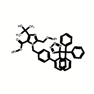 CCCOCc1nc(C(C)(C)O)c(C(=O)OCCC)n1Cc1ccc(-c2ccccc2C2(C(c3ccccc3)(c3ccccc3)c3ccccc3)N=NN=N2)cc1